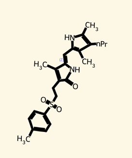 CCCc1c(C)[nH]c(/C=C2\NC(=O)C(CCS(=O)(=O)c3ccc(C)cc3)=C2C)c1C